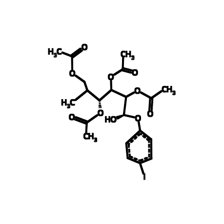 CC(=O)OCC(C)[C@@H](OC(C)=O)C(OC(C)=O)C(OC(C)=O)[C@H](O)Oc1ccc(I)cc1